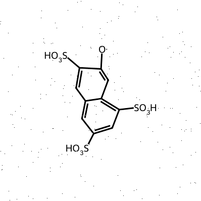 [O]c1cc2c(S(=O)(=O)O)cc(S(=O)(=O)O)cc2cc1S(=O)(=O)O